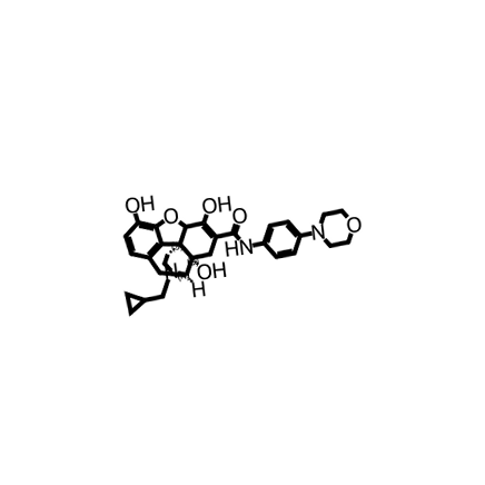 O=C(Nc1ccc(N2CCOCC2)cc1)C1=C(O)C2Oc3c(O)ccc4c3[C@@]23CCN(CC2CC2)[C@H](C4)[C@]3(O)C1